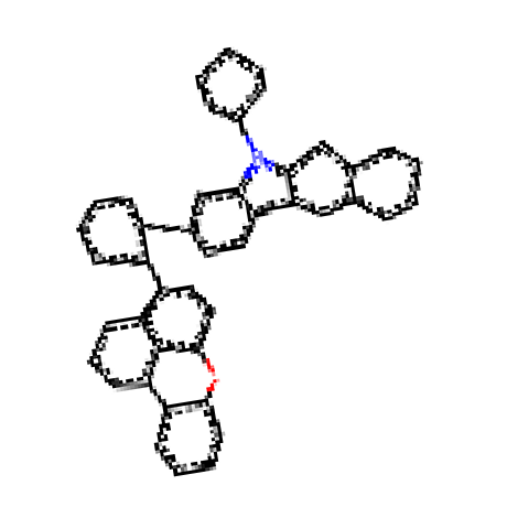 c1ccc(-n2c3cc(-c4ccccc4-c4ccc5c6c(cccc46)-c4ccccc4O5)ccc3c3cc4ccccc4cc32)cc1